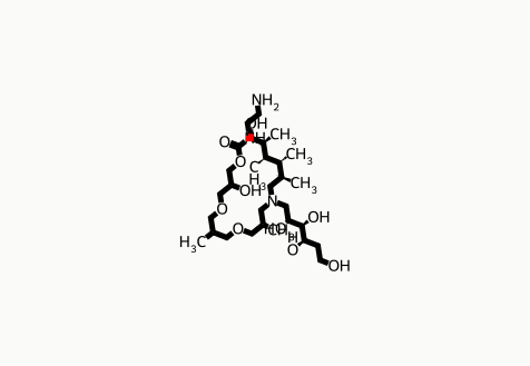 CC(COCC(C)CN(C[C@H](C)[C@@H](C)[C@H](C)[C@H](C)CO)C[C@H](O)[C@@H](O)[C@H](O)CCO)COCC(O)COC(=O)NCCN